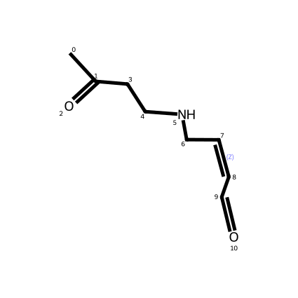 CC(=O)CCNC/C=C\C=O